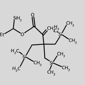 C=C(C(=O)OC([SiH3])CC)C(C[Si](C)(C)C)(C[Si](C)(C)C)C[Si](C)(C)C